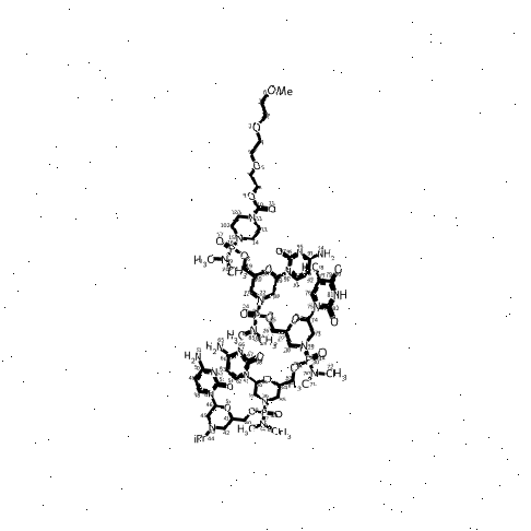 COCCOCCOCCOC(=O)N1CCN(P(=O)(OCC2CN(P(=O)(OCC3CN(P(=O)(OCC4CN(P(=O)(OCC5CN(C(C)C)CC(n6ccc(N)nc6=O)O5)N(C)C)CC(n5ccc(N)nc5=O)O4)N(C)C)CC(n4cc(C)c(=O)[nH]c4=O)O3)N(C)C)CC(n3ccc(N)nc3=O)O2)N(C)C)CC1